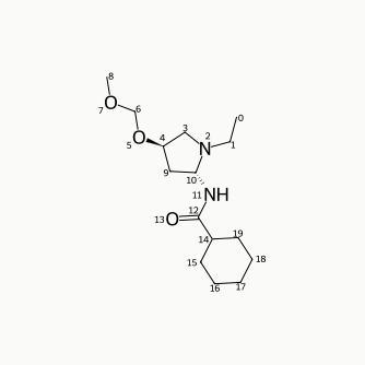 CCN1C[C@H](OCOC)C[C@H]1NC(=O)C1CCCCC1